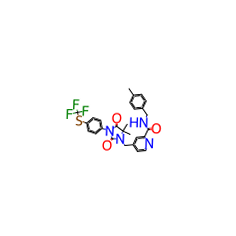 Cc1ccc(CNC(=O)c2cc(CN3C(=O)N(c4ccc(SC(F)(F)F)cc4)C(=O)C3(C)C)ccn2)cc1